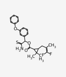 CC(CC1C(C(=O)OC(C(N)=S)c2cccc(Oc3ccccc3)c2)C1(C)C)=C(F)F